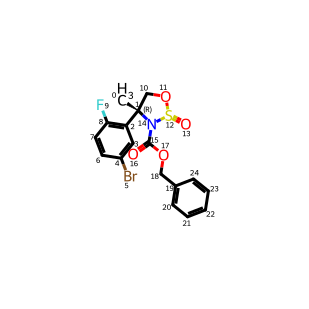 C[C@@]1(c2cc(Br)ccc2F)COS(=O)N1C(=O)OCc1ccccc1